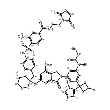 CCN(C(=O)OC(C)(C)C)c1cc(C2(c3nncn3C)CC(C)C2)cc(N2Cc3c(SC)cc(C[N+]4(Cc5ccc(NS(=O)(=O)c6ccc(C(=O)NCCN7C(=O)C=CC7=O)cc6[N+](=O)[O-])cc5)CCC[C@H](C)C4)cc3C2=O)n1